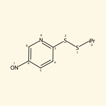 CC(C)SSc1ccc(N=O)cn1